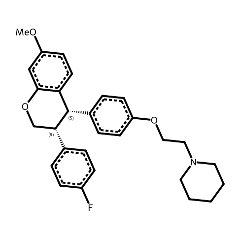 COc1ccc2c(c1)OC[C@@H](c1ccc(F)cc1)[C@H]2c1ccc(OCCN2CCCCC2)cc1